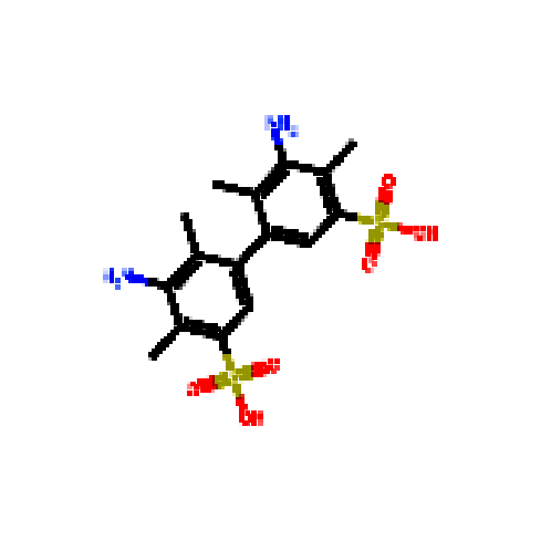 Cc1c(-c2cc(S(=O)(=O)O)c(C)c(N)c2C)cc(S(=O)(=O)O)c(C)c1N